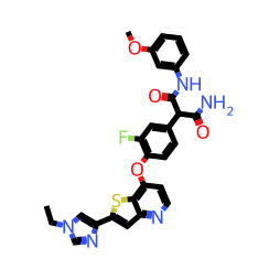 CCn1cnc(-c2cc3nccc(Oc4ccc(C(C(N)=O)C(=O)Nc5cccc(OC)c5)cc4F)c3s2)c1